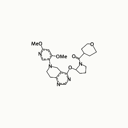 COc1cc(OC)c(N2CCc3ncnc(OC4CCCN4C(=O)C4CCOCC4)c3C2)cn1